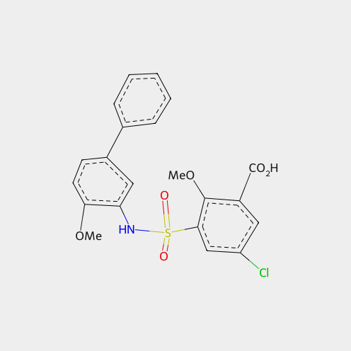 COc1ccc(-c2ccccc2)cc1NS(=O)(=O)c1cc(Cl)cc(C(=O)O)c1OC